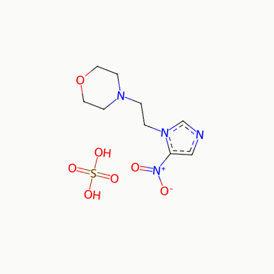 O=S(=O)(O)O.O=[N+]([O-])c1cncn1CCN1CCOCC1